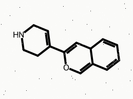 C1=CC2=COC(C3=CCNCC3)=CC2C=C1